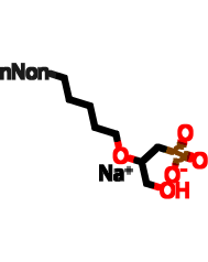 CCCCCCCCCCCCCCOC(CO)CS(=O)(=O)[O-].[Na+]